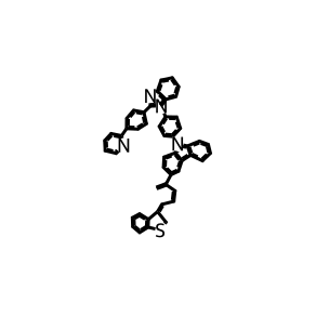 C=C(/C=C\C=C1/CSc2ccccc21)c1ccc2c(c1)c1ccccc1n2-c1ccc(-n2c(-c3ccc(-c4ccccn4)cc3)nc3ccccc32)cc1